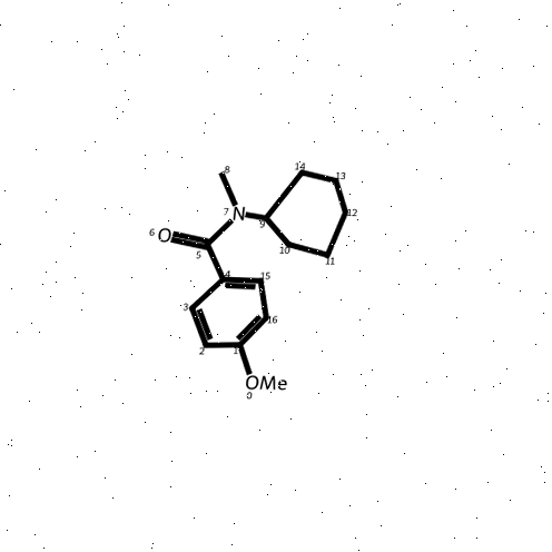 COc1ccc(C(=O)N(C)C2CCCCC2)cc1